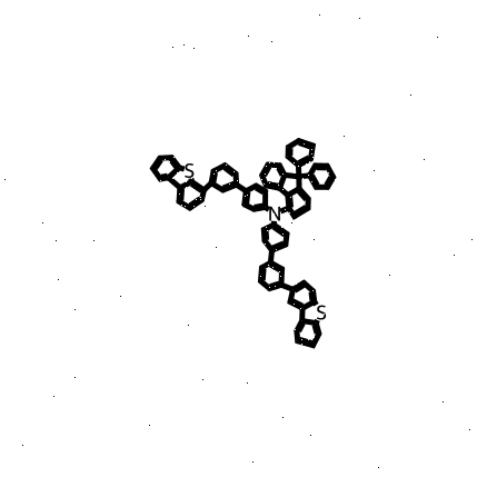 c1ccc(C2(c3ccccc3)c3ccccc3-c3c(N(c4ccc(-c5cccc(-c6ccc7sc8ccccc8c7c6)c5)cc4)c4ccc(-c5cccc(-c6cccc7c6sc6ccccc67)c5)cc4)cccc32)cc1